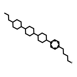 CCCC1CCC(C2CCC(C3CCC(c4ccc(CCCCF)cc4)CC3)CC2)CC1